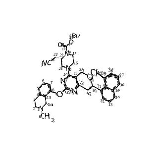 CN1CCc2cccc(Oc3nc4c(c(N5CCN(C(=O)OC(C)(C)C)[C@@H](CC#N)C5)n3)COC(c3cccc5cccc(Cl)c35)C4)c2C1